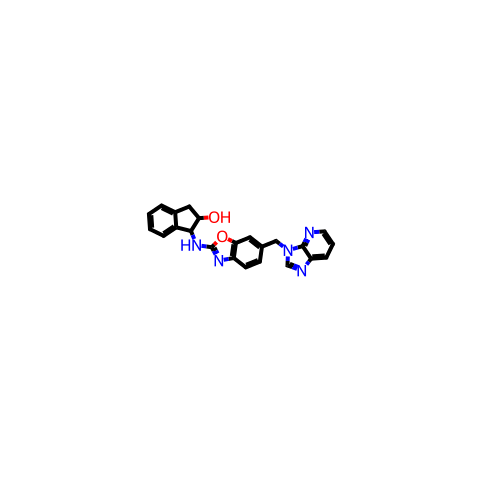 OC1Cc2ccccc2C1Nc1nc2ccc(Cn3cnc4cccnc43)cc2o1